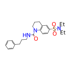 CCN(CC)S(=O)(=O)c1ccc2c(c1)CCCN2C(=O)NCCCc1ccccc1